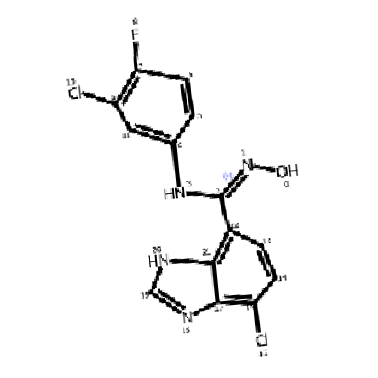 O/N=C(/Nc1ccc(F)c(Cl)c1)c1ccc(Cl)c2nc[nH]c12